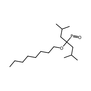 CCCCCCCCOC(CC(C)C)(CC(C)C)P=O